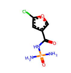 NP(N)(=O)NC(=O)c1coc(Cl)c1